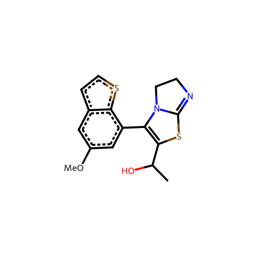 COc1cc(C2=C(C(C)O)SC3=NCCN32)c2sccc2c1